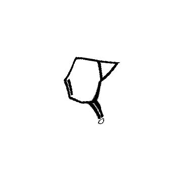 O=C1C=CCC2CC12